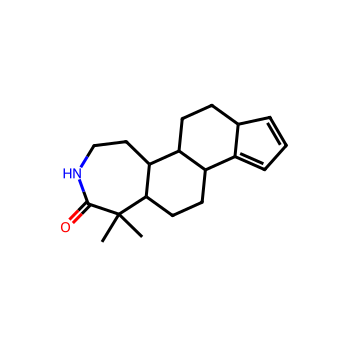 CC1(C)C(=O)NCCC2C3CCC4C=CC=C4C3CCC21